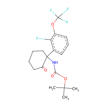 CC(C)(C)OC(=O)NC1(c2cccc(OC(F)(F)F)c2F)CCCCC1=O